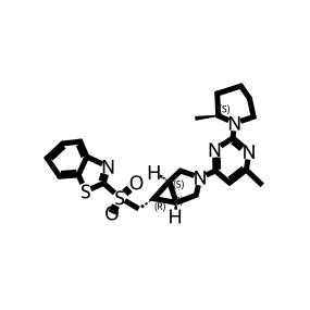 Cc1cc(N2C[C@@H]3[C@H](C2)[C@H]3CS(=O)(=O)c2nc3ccccc3s2)nc(N2CCCC[C@@H]2C)n1